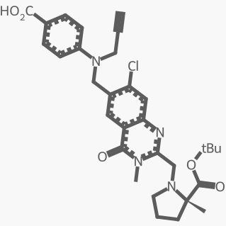 C#CCN(Cc1cc2c(=O)n(C)c(CN3CCC[C@@]3(C)C(=O)OC(C)(C)C)nc2cc1Cl)c1ccc(C(=O)O)cc1